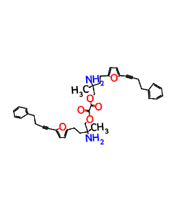 C[C@@](N)(CCc1ccc(C#CCCc2ccccc2)o1)COC(=O)C(=O)OC[C@](C)(N)CCc1ccc(C#CCCc2ccccc2)o1